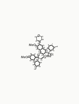 CCC1(OC)c2cc(C)ccc2-c2c1c1c(c3cc(OC)c(N4CCOCC4)cc23)OC(c2ccc(C)cc2)(c2ccc(OC)cc2)C=C1